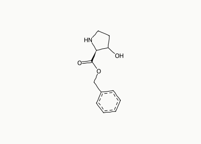 O=C(OCc1ccccc1)[C@H]1NCCC1O